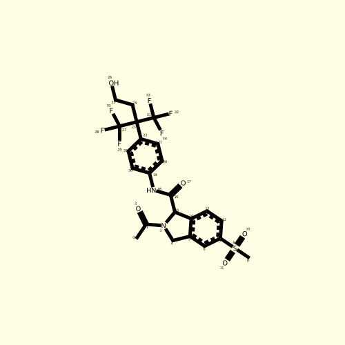 CC(=O)N1Cc2cc(S(C)(=O)=O)ccc2C1C(=O)Nc1ccc(C(CCO)(C(F)(F)F)C(F)(F)F)cc1